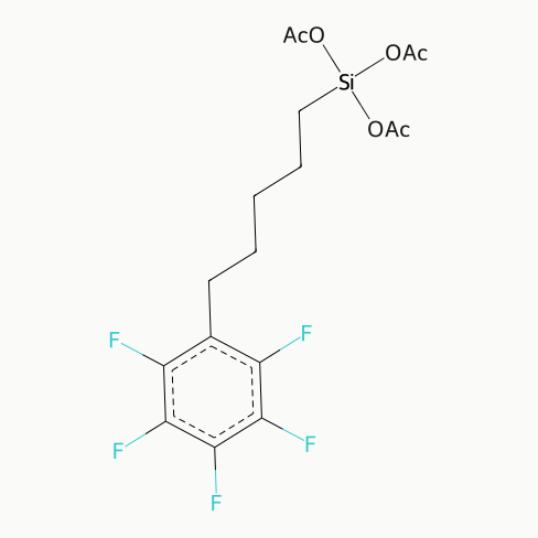 CC(=O)O[Si](CCCCCc1c(F)c(F)c(F)c(F)c1F)(OC(C)=O)OC(C)=O